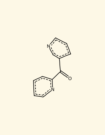 O=C(c1cccnc1)c1ccccn1